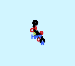 CN1CCC(Cn2c(=O)[nH]c3sc(C(=O)OCc4ccccc4)cc3c2=O)CC1